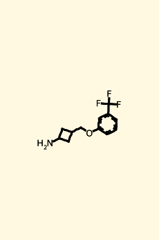 NC1CC(COc2cccc(C(F)(F)F)c2)C1